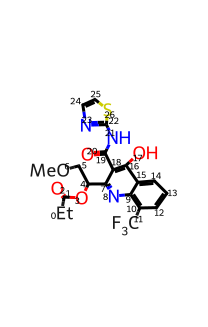 CCC(=O)OC(COC)c1nc2c(C(F)(F)F)cccc2c(O)c1C(=O)Nc1nccs1